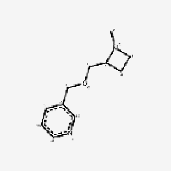 CN1CCC1COCc1cccnc1